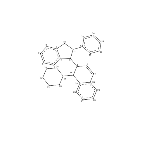 C1=CC(C2c3ccccc3CC2c2ccccc2)C(C2CCCCC2)c2ccccc21